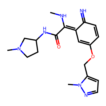 CN/C(C(=O)NC1CCN(C)C1)=C1/C=C(OCc2ccnn2C)C=CC1=N